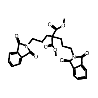 COC(=O)C(CCCN1C(=O)c2ccccc2C1=O)(CCCN1C(=O)c2ccccc2C1=O)C(=O)OC